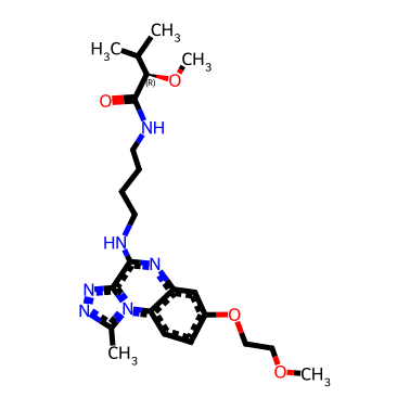 COCCOc1ccc2c(c1)nc(NCCCCNC(=O)[C@H](OC)C(C)C)c1nnc(C)n12